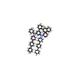 c1ccc(-c2ccc(-c3ccc(N(c4ccccc4)c4cc(-c5cccc6sc7c8ccccc8ccc7c56)cc(N(c5ccccc5)c5ccc(-c6ccc(-c7ccccc7)cc6)cc5)c4)cc3)cc2)cc1